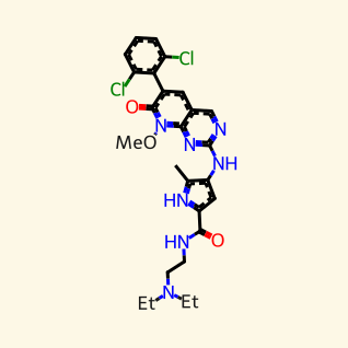 CCN(CC)CCNC(=O)c1cc(Nc2ncc3cc(-c4c(Cl)cccc4Cl)c(=O)n(OC)c3n2)c(C)[nH]1